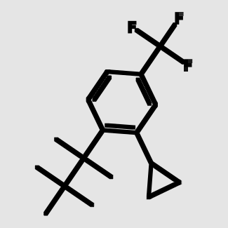 CC(C)(C)C(C)(C)c1ccc(C(F)(F)F)cc1C1CC1